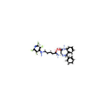 O=C(CCCCNc1c(F)c(F)nc(F)c1F)N[C@H]1N=C(c2ccccc2)c2ccccc2NC1=O